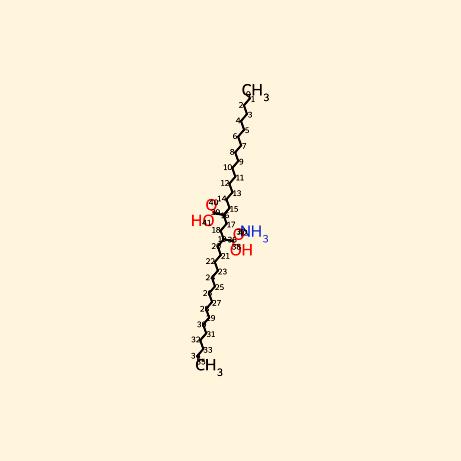 CCCCCCCCCCCCCCCCC(CCC(CCCCCCCCCCCCCCCC)C(=O)O)C(=O)O.N